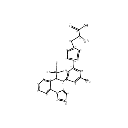 Nc1nc(OC(c2ccccc2-n2ccnc2)C(F)(F)F)cc(-c2ccc(CC(N)C(=O)O)cc2)n1